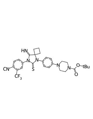 [C-]#[N+]c1ccc(N2C(=N)C3(CCC3)N(c3ccc(N4CCN(C(=O)OC(C)(C)C)CC4)cc3)C2=S)cc1C(F)(F)F